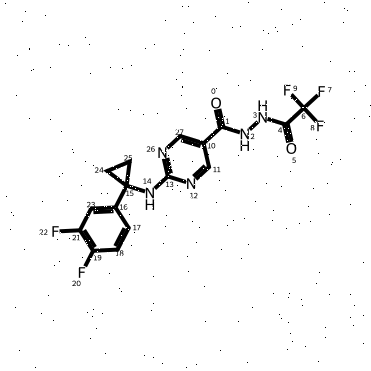 O=C(NNC(=O)C(F)(F)F)c1cnc(NC2(c3ccc(F)c(F)c3)CC2)nc1